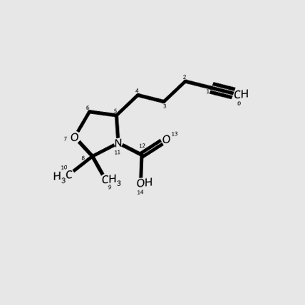 C#CCCCC1COC(C)(C)N1C(=O)O